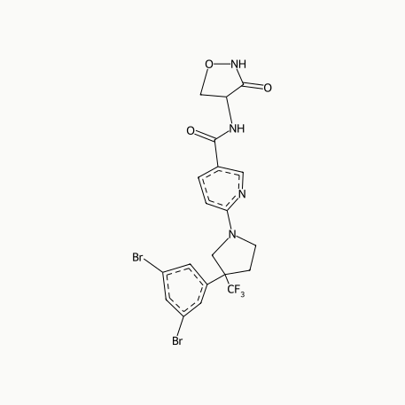 O=C(NC1CONC1=O)c1ccc(N2CCC(c3cc(Br)cc(Br)c3)(C(F)(F)F)C2)nc1